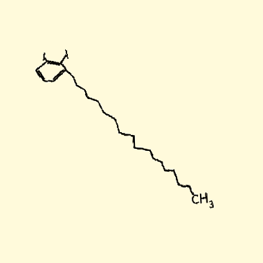 CCCCCCCCCCCCCCCCCCc1cccc(I)c1I